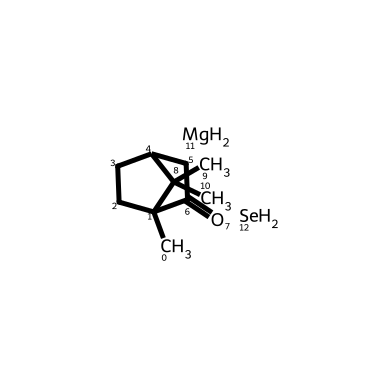 CC12CCC(CC1=O)C2(C)C.[MgH2].[SeH2]